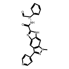 Cn1nc(-c2ccncc2)c2cc3nc(C(=O)N[C@H](C=O)c4ccccc4)[nH]c3cc21